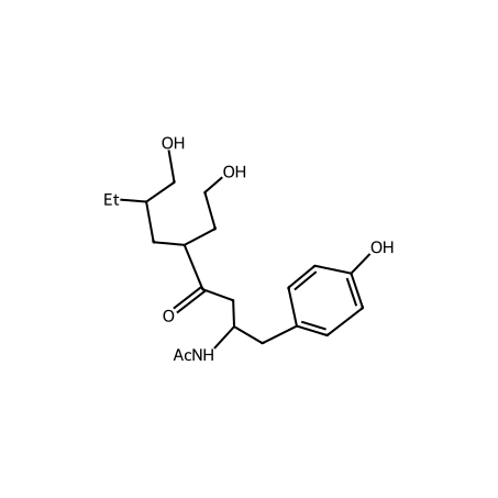 CCC(CO)CC(CCO)C(=O)CC(Cc1ccc(O)cc1)NC(C)=O